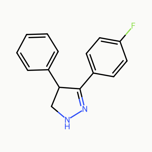 Fc1ccc(C2=NNCC2c2ccccc2)cc1